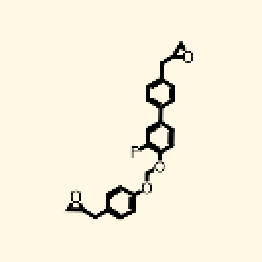 Fc1cc(-c2ccc(CC3CO3)cc2)ccc1OCOc1ccc(CC2CO2)cc1